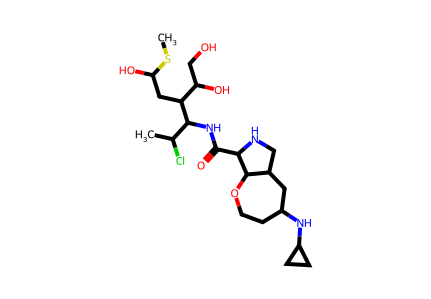 CSC(O)CC(C(O)CO)C(NC(=O)C1NCC2CC(NC3CC3)CCOC21)C(C)Cl